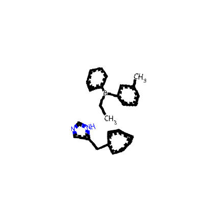 CCB(c1ccccc1)c1cccc(C)c1.c1ccc(Cc2cnc[nH]2)cc1